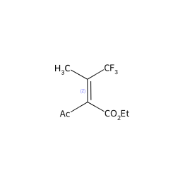 CCOC(=O)/C(C(C)=O)=C(/C)C(F)(F)F